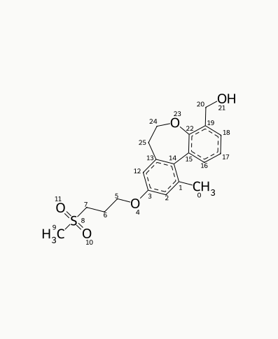 Cc1cc(OCCCS(C)(=O)=O)cc2c1-c1cccc(CO)c1OCC2